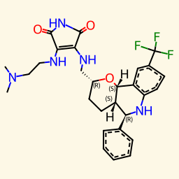 CN(C)CCNC1=C(NC[C@H]2CC[C@@H]3[C@H](O2)c2cc(C(F)(F)F)ccc2N[C@H]3c2ccccc2)C(=O)NC1=O